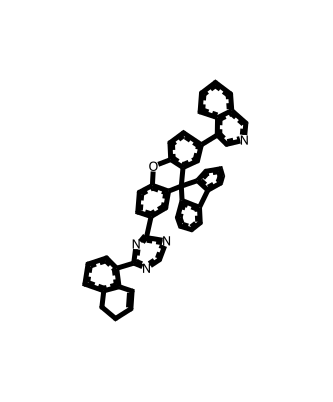 C1=Cc2c(cccc2-c2ncnc(-c3ccc4c(c3)C3(c5cc(-c6cncc7ccccc67)ccc5O4)c4ccccc4-c4ccccc43)n2)CC1